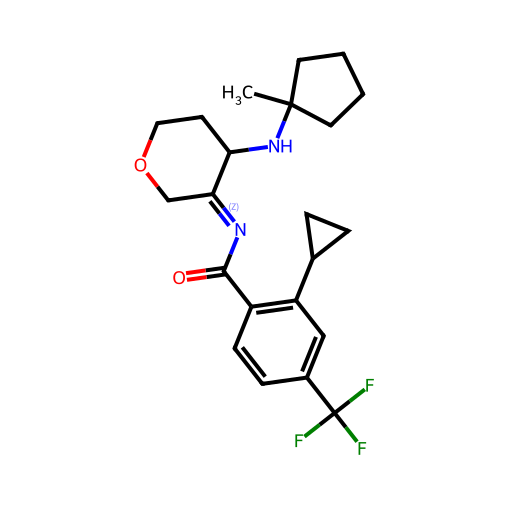 CC1(NC2CCOC/C2=N\C(=O)c2ccc(C(F)(F)F)cc2C2CC2)CCCC1